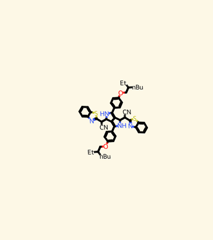 CCCCC(CC)COc1ccc(C2=C3C(=C(c4ccc(OCC(CC)CCCC)cc4)NC3C(C#N)c3nc4ccccc4s3)C(C(C#N)c3nc4ccccc4s3)N2)cc1